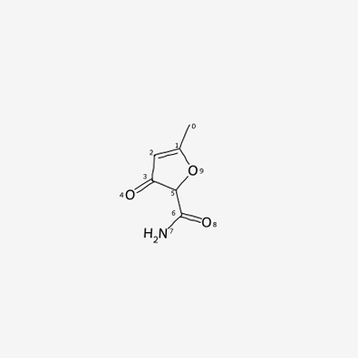 CC1=CC(=O)C(C(N)=O)O1